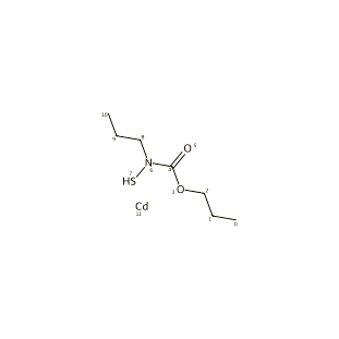 CCCOC(=O)N(S)CCC.[Cd]